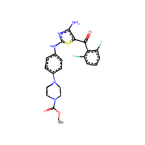 CC(C)(C)OC(=O)N1CCN(c2ccc(Nc3nc(N)c(C(=O)c4c(F)cccc4F)s3)cc2)CC1